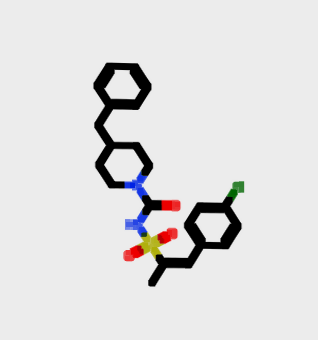 CC(=Cc1ccc(Cl)cc1)S(=O)(=O)NC(=O)N1CCC(Cc2ccccc2)CC1